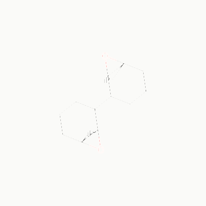 CC(C)C12CCCC(C3CCCC4(C(C)C)OC34)C1O2